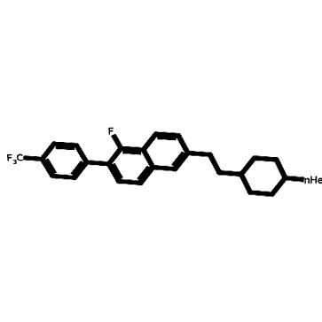 CCCCCCC1CCC(CCc2ccc3c(F)c(-c4ccc(C(F)(F)F)cc4)ccc3c2)CC1